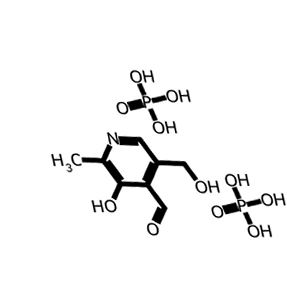 Cc1ncc(CO)c(C=O)c1O.O=P(O)(O)O.O=P(O)(O)O